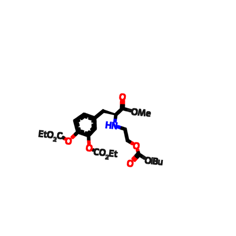 CCOC(=O)Oc1ccc(C[C@H](NCCOC(=O)OCC(C)C)C(=O)OC)cc1OC(=O)OCC